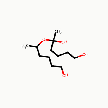 CC(CCCCO)OC(C)(O)CCCCO